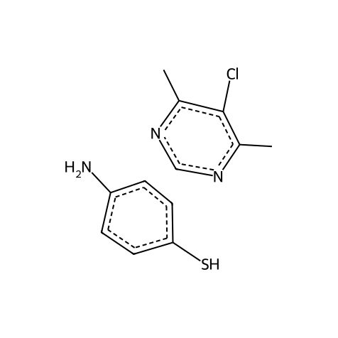 Cc1ncnc(C)c1Cl.Nc1ccc(S)cc1